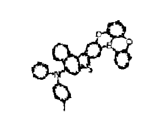 Cc1ccc(N(c2ccccc2)c2cc3sc4cc5c(cc4c3c3ccccc23)Oc2cccc3c2B5c2ccccc2O3)cc1